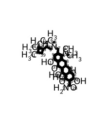 CC[C@H](CN(CC)Cc1cc(O)c2c(c1N(C)C)CC1C[C@H]3CC(O)=C(C(N)=O)C(=O)[C@@]3(O)C(O)=C1C2=O)C1CC(C)C1(C)C